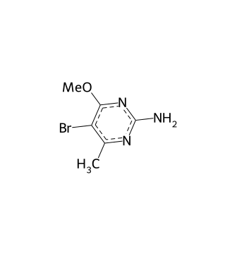 COc1nc(N)nc(C)c1Br